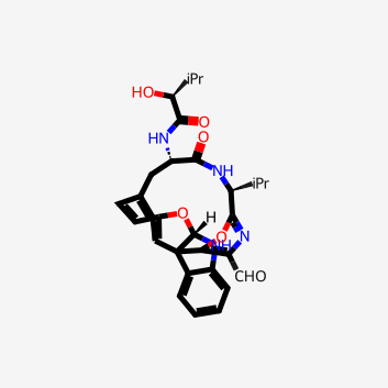 CC(C)[C@H](O)C(=O)N[C@H]1Cc2ccc3c(c2)C2(c4ccccc4N[C@H]2O3)c2oc(nc2C=O)[C@H](C(C)C)NC1=O